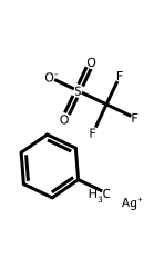 Cc1ccccc1.O=S(=O)([O-])C(F)(F)F.[Ag+]